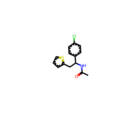 CC(=O)NC(Cc1cccs1)c1ccc(Cl)cc1